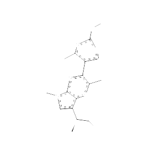 CCOc1ccc(-c2nc3c(nc2C)c([C@H](C)CO)cn3C)c(CC)n1